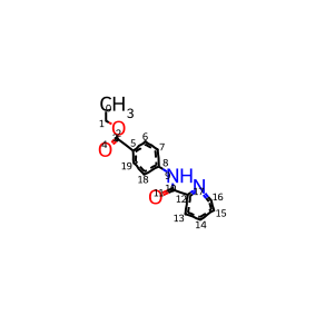 CCOC(=O)c1ccc(NC(=O)c2ccccn2)cc1